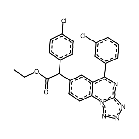 CCOC(=O)C(c1ccc(Cl)cc1)c1ccc2c(c1)c(-c1cccc(Cl)c1)nc1nnnn12